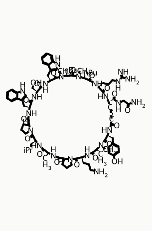 CCCC[C@H]1C(=O)N(C)[C@@H](CCCC)C(=O)N[C@@H](CCCNC(=N)N)C(=O)N[C@H](C(=O)NCC(N)=O)CSCC(=O)N[C@@H](Cc2ccc(O)cc2)C(=O)N(C)[C@@H](C)C(=O)N[C@@H](CCCN)C(=O)N2CCC[C@H]2C(=O)N[C@@H](C)C(=O)N[C@@H](CC(C)C)C(=O)N2CCC[C@H]2C(=O)N[C@@H](Cc2c[nH]c3ccccc23)C(=O)N[C@@H](CO)C(=O)N[C@@H](Cc2c[nH]c3ccccc23)C(=O)N1C